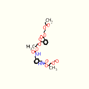 C=CC(=O)OCCOC(=O)c1ccccc1C(=O)OCC(C)OC(=O)NCc1cccc(CNC(=O)OC(C)COC=O)c1